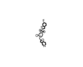 O=C1CN(S(=O)(=O)c2cc3ccc(F)cc3s2)CCN1Cc1cc2cnccc2o1